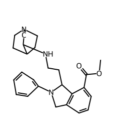 COC(=O)c1cccc2c1C(CCNC1CN3CCC1CC3)N(c1ccccc1)C2